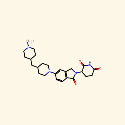 O=C1CCC(N2Cc3cc(N4CCC(CC5CCN(C(=O)O)CC5)CC4)ccc3C2=O)C(=O)N1